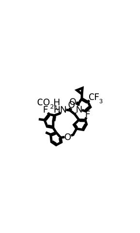 Cc1cc2cc(c1F)[C@H](CC(=O)O)NC(=O)[C@H](n1ccc(C(F)(F)F)c(C3CC3)c1=O)c1cc(ccc1F)COc1cccc(C)c1-2